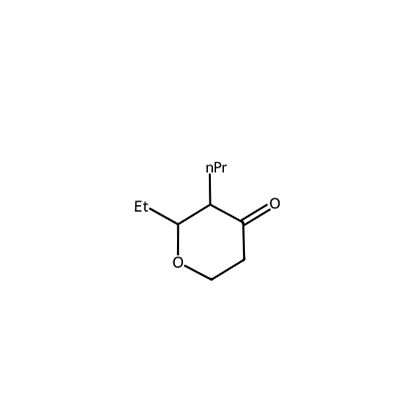 [CH2]CCC1C(=O)CCOC1CC